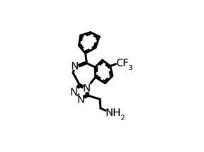 NCCc1nnc2n1-c1ccc(C(F)(F)F)cc1C(c1ccccc1)=NC2